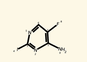 Nc1nc(I)ncc1F